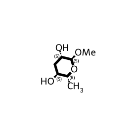 CO[C@H]1O[C@H](C)[C@@H](O)C[C@@H]1O